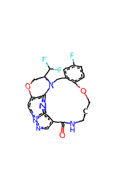 O=C1NCCCOc2ccc(F)cc2CN2c3nc4c1cnn4cc3OCC2C(F)F